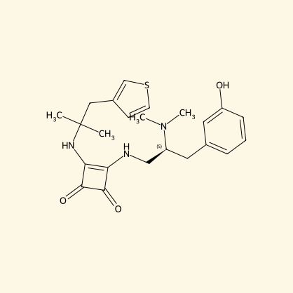 CN(C)[C@H](CNc1c(NC(C)(C)Cc2ccsc2)c(=O)c1=O)Cc1cccc(O)c1